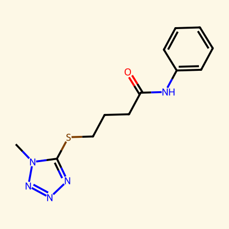 Cn1nnnc1SCCCC(=O)Nc1ccccc1